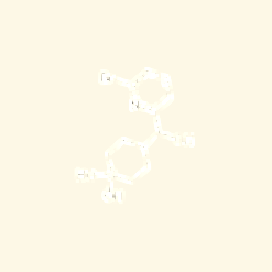 OC(c1cccc(Br)n1)C1CCS(O)(O)CC1